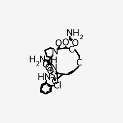 NC(=O)OC1CCCCCC=CC2CC2(S(=O)(=O)Nc2ccccc2Cl)NC(=O)C2(C(N)=O)CCCN2C1=O